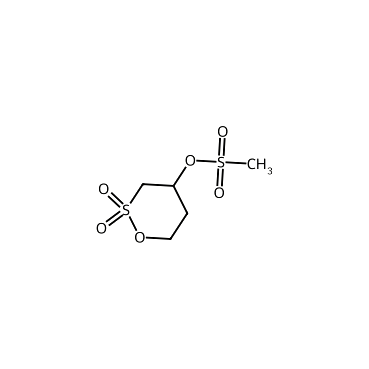 CS(=O)(=O)OC1CCOS(=O)(=O)C1